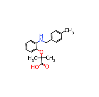 Cc1ccc(CNc2ccccc2OC(C)(C)C(=O)O)cc1